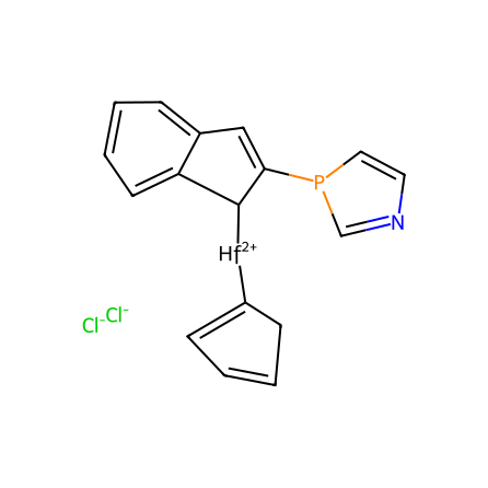 C1=CC[C]([Hf+2][CH]2C(p3ccnc3)=Cc3ccccc32)=C1.[Cl-].[Cl-]